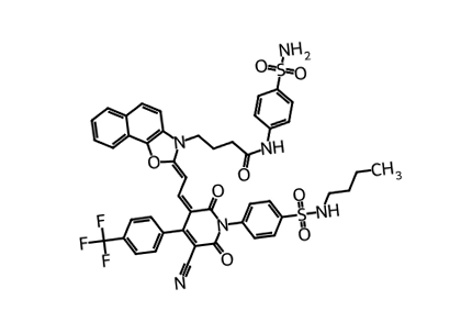 CCCCNS(=O)(=O)c1ccc(N2C(=O)C(C#N)=C(c3ccc(C(F)(F)F)cc3)/C(=C/C=C3\Oc4c(ccc5ccccc45)N3CCCC(=O)Nc3ccc(S(N)(=O)=O)cc3)C2=O)cc1